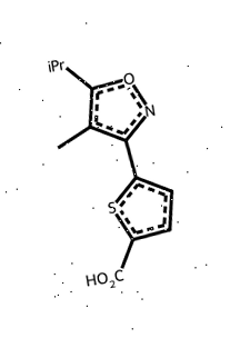 Cc1c(-c2ccc(C(=O)O)s2)noc1C(C)C